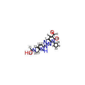 CC(=O)c1c(C)c2cnc(Nc3ccc4c(n3)CCN(C(C)O)C4)nc2n(C2CCCC2)c1=O